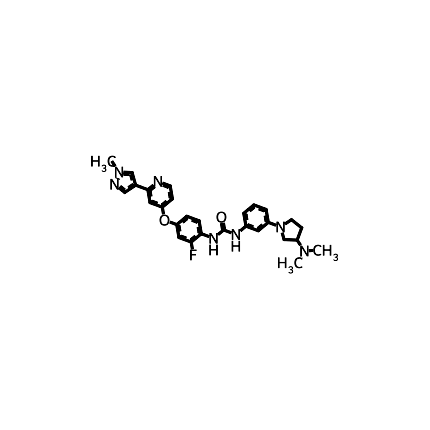 CN(C)C1CCN(c2cccc(NC(=O)Nc3ccc(Oc4ccnc(-c5cnn(C)c5)c4)cc3F)c2)C1